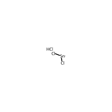 Cl.[Cl][Sn][Cl]